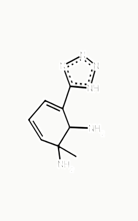 CC1(N)C=CC=C(c2nnn[nH]2)C1N